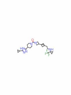 O=C(N1CCC(c2nnc(C3CC3)[nH]2)CC1)N1CC(C23CC(CCNC4(C(F)(F)F)CC4)(C2)C3)C1